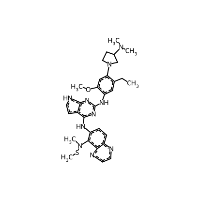 CCc1cc(Nc2nc(Nc3ccc4nccnc4c3N(C)SC)c3cc[nH]c3n2)c(OC)cc1N1CCC(N(C)C)C1